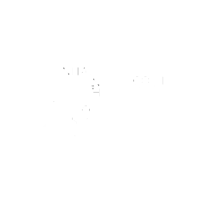 CC(=O)N[C@@H](CC1CC=CS1)C(=O)NCCC(=O)O